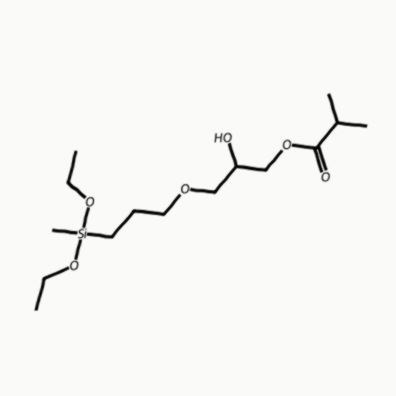 CCO[Si](C)(CCCOCC(O)COC(=O)C(C)C)OCC